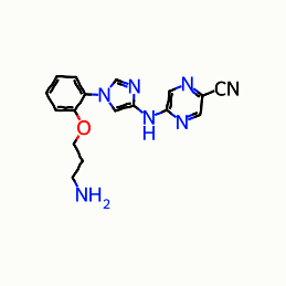 N#Cc1cnc(Nc2cn(-c3ccccc3OCCCN)cn2)cn1